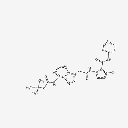 CC(C)(C)OC(=O)Nc1ncnc2c1ncn2CC(=O)Nn1ccc(Cl)c1C(=O)Nc1ccncc1